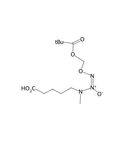 CN(CCCCC(=O)O)/[N+]([O-])=N\OCOC(=O)C(C)(C)C